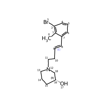 Cc1c(Br)cccc1/C=C/CCN1CCC[C@@H](O)C1